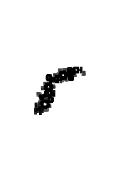 CCS(=O)(=O)c1ccc(CNC(=O)c2ccc3c(c2)nc(O[C@H]2CC[C@H](C(F)(F)F)CC2)n3C2CC2)cc1